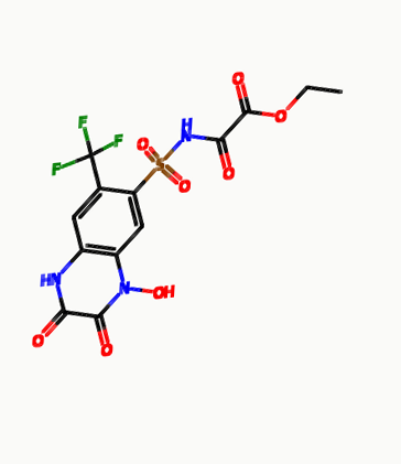 CCOC(=O)C(=O)NS(=O)(=O)c1cc2c(cc1C(F)(F)F)[nH]c(=O)c(=O)n2O